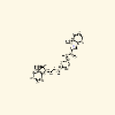 O=C(/C=C/c1ccccc1Cl)Nc1nnc(NCCc2c[nH]c3ccccc23)s1